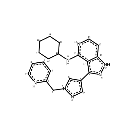 c1ccc(Cn2cc(-c3n[nH]c4ccnc(NC5CCCCC5)c34)cn2)nc1